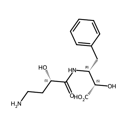 NCC[C@H](O)C(=O)N[C@H](Cc1ccccc1)[C@H](O)C(=O)O